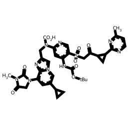 Cc1ccnc(C2CC2C(=O)CS(=O)(=O)c2cnc(N(Cc3cn4cc(C5CC5)cc(N5CC(=O)N(C)C5=O)c4n3)C(=O)O)cc2NC(=O)OC(C)(C)C)n1